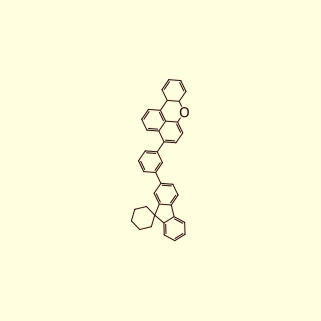 C1=CC2Oc3ccc(-c4cccc(-c5ccc6c(c5)C5(CCCCC5)c5ccccc5-6)c4)c4cccc(c34)C2C=C1